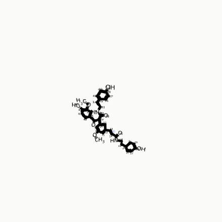 COc1cc(C2Oc3c(OC)cc(/C=C/C(=O)NCCc4ccc(O)cc4)cc3C2C(=O)NCCc2ccc(O)cc2)ccc1O